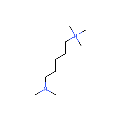 CN(C)CCCCC[N+](C)(C)C